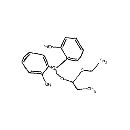 CCOC(CC)O[SiH](c1ccccc1O)c1ccccc1O